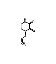 C=CCN1CCNC(=O)C1=O